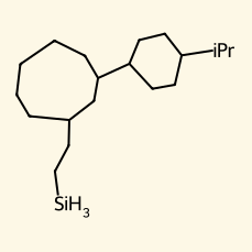 CC(C)C1CCC(C2CCCCCC(CC[SiH3])C2)CC1